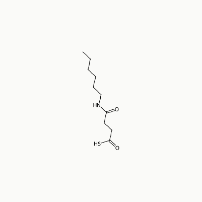 CCCCCCNC(=O)CCC(=O)S